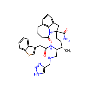 C[C@@H](CCC1(C(N)=O)Cc2cccc3c2N1C(=O)CCC3)[C@@H](CNCc1c[nH]nn1)NC(=O)Cc1csc2ccccc12